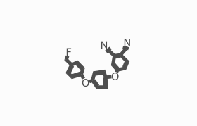 N#Cc1ccc(Oc2ccc(Oc3ccc(CF)cc3)cc2)cc1C#N